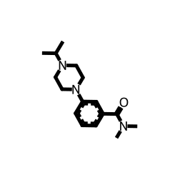 CC(C)N1CCN(c2cccc(C(=O)N(C)C)c2)CC1